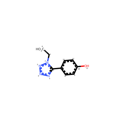 O=C(O)Cn1nnnc1-c1ccc(O)cc1